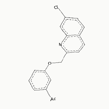 CC(=O)c1cccc(OCc2ccc3ccc(Cl)cc3n2)c1